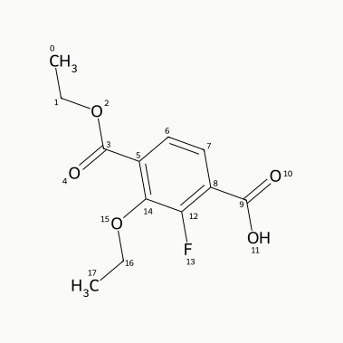 CCOC(=O)c1ccc(C(=O)O)c(F)c1OCC